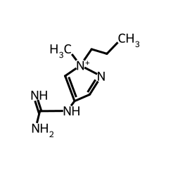 CCC[N+]1(C)C=C(NC(=N)N)C=N1